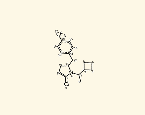 CC(C1CCC1)N1C(Cl)=CCC1Cc1ccc(C(F)(F)F)cc1